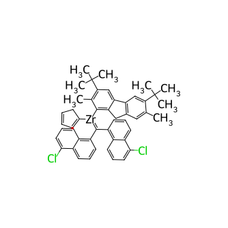 Cc1cc2c(cc1C(C)(C)C)-c1cc(C(C)(C)C)c(C)[c]([Zr]([C]3=CC=CC3)=[C](c3cccc4c(Cl)cccc34)c3cccc4c(Cl)cccc34)c1C2